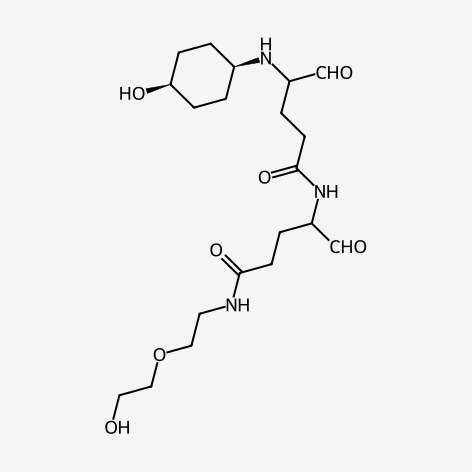 O=CC(CCC(=O)NCCOCCO)NC(=O)CCC(C=O)N[C@H]1CC[C@@H](O)CC1